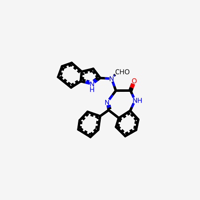 O=CN(c1cc2ccccc2[nH]1)C1N=C(c2ccccc2)c2ccccc2NC1=O